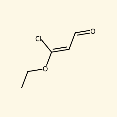 CCOC(Cl)=CC=O